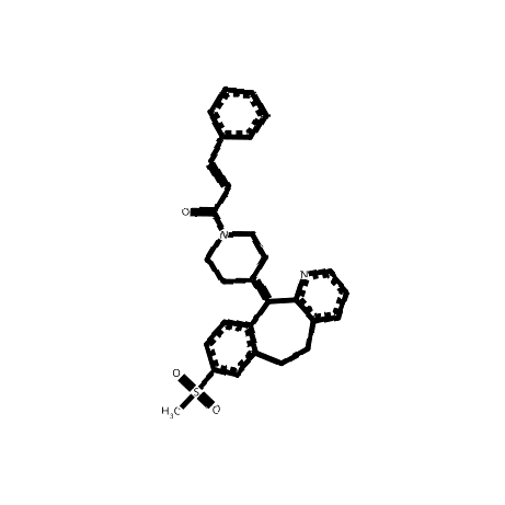 CS(=O)(=O)c1ccc2c(c1)CCc1cccnc1C2=C1CCN(C(=O)C=Cc2ccccc2)CC1